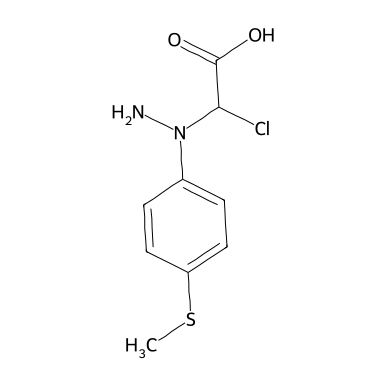 CSc1ccc(N(N)C(Cl)C(=O)O)cc1